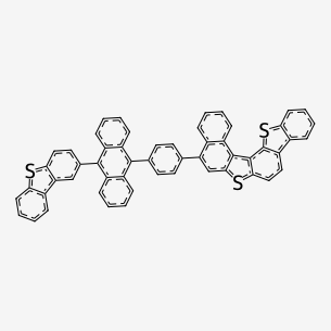 c1ccc2c(c1)sc1ccc(-c3c4ccccc4c(-c4ccc(-c5cc6sc7ccc8c9ccccc9sc8c7c6c6ccccc56)cc4)c4ccccc34)cc12